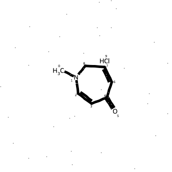 CN1C=CC(=O)C=CC1.Cl